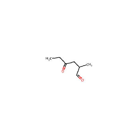 CCC(=O)CC(C)C=O